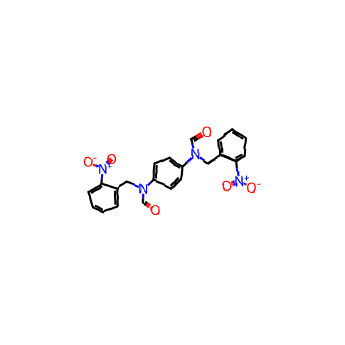 O=CN(Cc1ccccc1[N+](=O)[O-])c1ccc(N(C=O)Cc2ccccc2[N+](=O)[O-])cc1